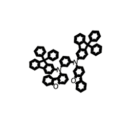 c1ccc(C2(c3ccccc3)c3ccccc3-c3cc(N(c4cccc(N(c5ccc6c(c5)C(c5ccccc5)(c5ccccc5)c5ccccc5-6)c5cccc6oc7ccccc7c56)c4)c4ccc5c(c4)oc4ccccc45)ccc32)cc1